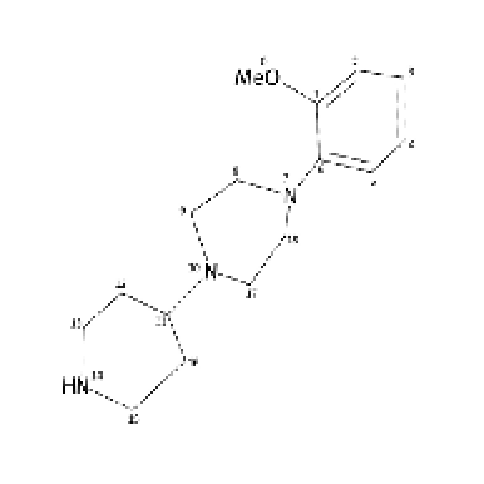 COc1ccccc1N1CCN(C2CCNCC2)CC1